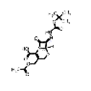 CC(=O)OCC1=C(C(=O)O)N2C(=O)/C(=N\NC(=O)OC(C)(C)C)[C@@H]2SC1